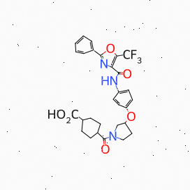 O=C(Nc1ccc(OC2CCN(C(=O)C3CCC(C(=O)O)CC3)C2)cc1)c1nc(-c2ccccc2)oc1C(F)(F)F